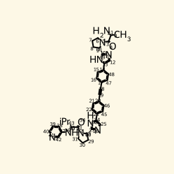 CC(N)C(=O)N1CCC[C@H]1c1ncc(-c2ccc(C#Cc3ccc(-c4cnc([C@@H]5CCCN5C(=O)[C@@H](Nc5cccnc5)C(C)C)[nH]4)cc3)cc2)[nH]1